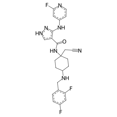 N#CCC1(NC(=O)c2c[nH]nc2Nc2ccnc(F)c2)CCC(NCc2ccc(F)cc2F)CC1